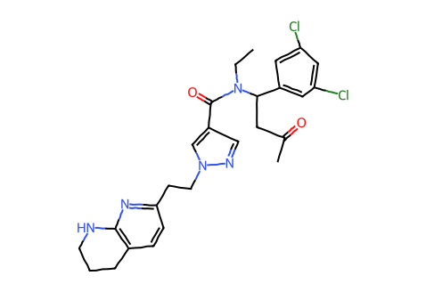 CCN(C(=O)c1cnn(CCc2ccc3c(n2)NCCC3)c1)C(CC(C)=O)c1cc(Cl)cc(Cl)c1